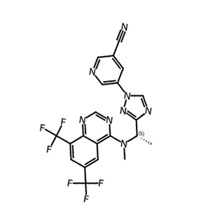 C[C@@H](c1ncn(-c2cncc(C#N)c2)n1)N(C)c1ncnc2c(C(F)(F)F)cc(C(F)(F)F)cc12